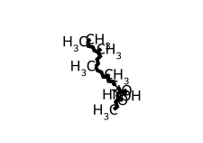 CCCC(=O)NC(CSC/C=C(\C)CCCC(C)CCCC(C)CCCC(C)C)C(=O)O